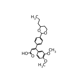 CCCC1CCOC(c2ccc(C(=CC(=O)O)c3ccc(OC)c(OC)c3)cc2)O1